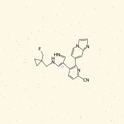 N#Cc1ccc(/C(C=N)=C/NCC2(CF)CC2)c(-c2ccn3ccnc3c2)n1